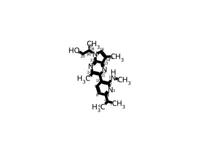 CNc1nc(C(C)C)ccc1-c1nc2c(C)cn([C@H](C)CO)c2nc1C